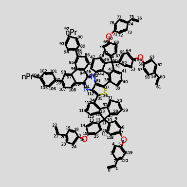 C=Cc1ccc(Oc2ccc(C3(c4ccc(Oc5ccc(C=C)cc5)cc4)c4ccccc4-c4c(-c5sc(-c6cccc7c6-c6ccccc6C7(c6ccc(Oc7ccc(C=C)cc7)cc6)c6ccc(Oc7ccc(C=C)cc7)cc6)c6nc7c8ccc(-c9ccc(CCC)cc9)cc8c8cc(-c9ccc(CCC)cc9)ccc8c7nc56)cccc43)cc2)cc1